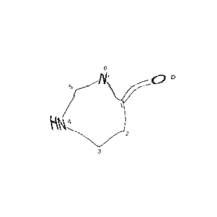 O=C1CCNC[N]1